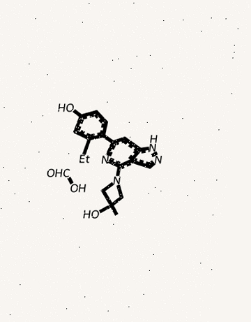 CCc1cc(O)ccc1-c1cc2[nH]ncc2c(N2CC(C)(O)C2)n1.O=CO